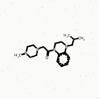 CC(C)CN1CCN(C(=O)CN2CCN(C)CC2)c2ccccc21